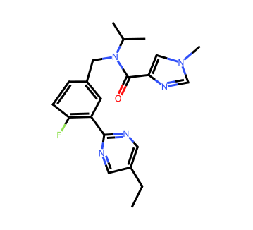 CCc1cnc(-c2cc(CN(C(=O)c3cn(C)cn3)C(C)C)ccc2F)nc1